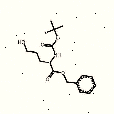 CC(C)(C)OC(=O)N[C@H](CCCO)C(=O)OCc1ccccc1